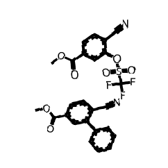 COC(=O)c1ccc(C#N)c(-c2ccccc2)c1.COC(=O)c1ccc(C#N)c(OS(=O)(=O)C(F)(F)F)c1